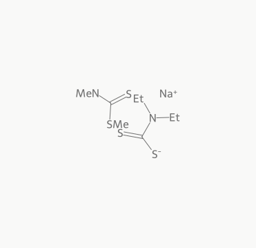 CCN(CC)C(=S)[S-].CNC(=S)SC.[Na+]